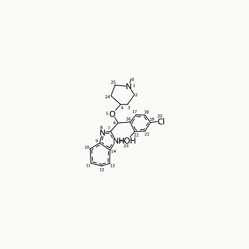 CN1CCC(OC(c2nc3ccccc3[nH]2)c2ccc(Cl)cc2O)CC1